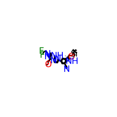 COCCc1nn(CC(F)F)cc1Nc1nccc(-c2cc(C#N)c3c(c2)[C@@](C)(CO[Si](C)(C)C(C)(C)C)CN3)n1